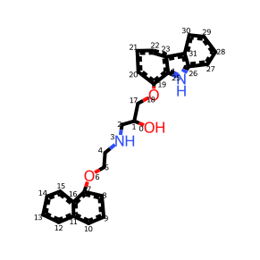 OC(CNCCOc1cccc2ccccc12)COc1cccc2c1[nH]c1ccccc12